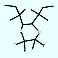 CCC(C)(C)C1OC(F)(F)C(F)(F)OC1C(C)(C)CC